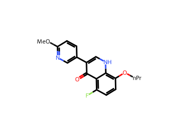 CCCOc1ccc(F)c2c(=O)c(-c3ccc(OC)nc3)c[nH]c12